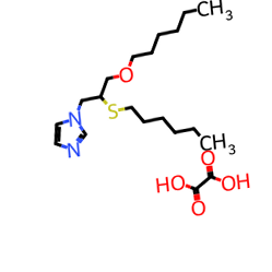 CCCCCCOCC(Cn1ccnc1)SCCCCCC.O=C(O)C(=O)O